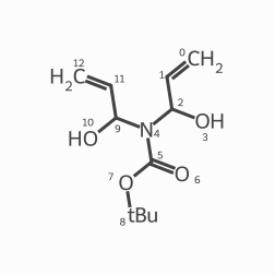 C=CC(O)N(C(=O)OC(C)(C)C)C(O)C=C